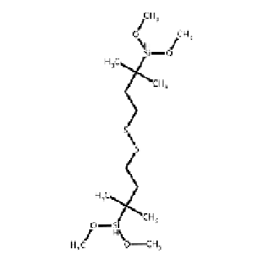 CO[SiH](OC)C(C)(C)CCSSCCC(C)(C)[SiH](OC)OC